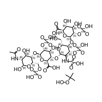 CC(=O)N[C@@H]1[C@@H](O)[C@H](O[C@@H]2O[C@H](C(=O)O)[C@@H](O[C@@H]3O[C@H](CO)[C@@H](O[C@H]4O[C@@H](C(=O)O)[C@H](O)[C@@H](O)[C@@H]4OS(=O)(=O)O)[C@H](OS(=O)(=O)O)[C@H]3NS(=O)(=O)O)[C@H](O)[C@H]2OS(=O)(=O)O)[C@H](COS(=O)(=O)O)O[C@H]1O.CC(C)(C)OO